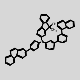 CC1(C)c2ccccc2-c2ccc(N(c3ccc(-c4ccc5c(ccc6ccccc65)c4)cc3)c3cccc(-c4cccc(-c5cccc6ccccc56)c4)c3)cc21